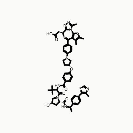 Cc1ncsc1-c1ccc(C(C)NC(=O)[C@@H]2C[C@@H](O)CN2C(=O)C(NC(=O)c2ccc(O[C@@H]3CCN(c4ccc(C5=N[C@@H](CC(=O)O)c6nnc(C)n6-c6sc(C)c(C)c65)cc4)C3)cc2)C(C)(C)C)cc1